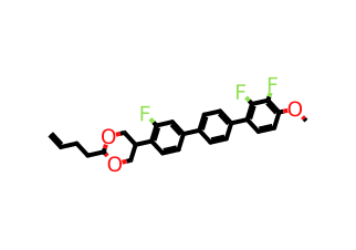 C=CCCC1OCC(c2ccc(-c3ccc(-c4ccc(OC)c(F)c4F)cc3)cc2F)CO1